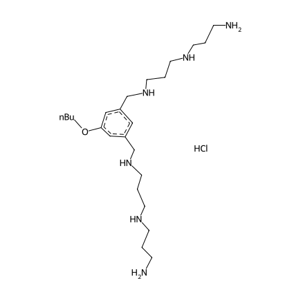 CCCCOc1cc(CNCCCNCCCN)cc(CNCCCNCCCN)c1.Cl